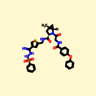 C[C@@]12C[C@@H]1N(C(=O)CNC(=O)c1ccc(Oc3ccccc3)cc1)[C@H](C(=O)NCc1cc(C(=N)NNS(=O)(=O)c3ccccc3)cs1)C2